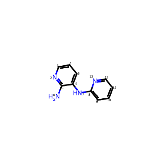 Nc1ncccc1Nc1ccccn1